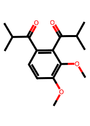 COc1ccc(C(=O)C(C)C)c(C(=O)C(C)C)c1OC